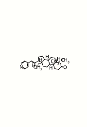 C/C(=C\c1ccncc1)[C@H]1CC[C@H]2[C@@H]3CC[C@H]4N(C)C(=O)CC[C@]4(C)[C@H]3CC[C@]12C